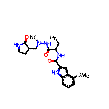 COc1cccc2[nH]c(C(=O)NC(CC(C)C)C(=O)NN(C#N)CC3CCNC3=O)cc12